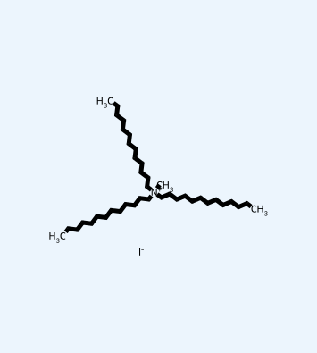 CCCCCCCCCCCCC[N+](C)(CCCCCCCCCCCCC)CCCCCCCCCCCCC.[I-]